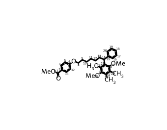 COC(=O)c1ccc(OCCCCCCC(c2ccccc2)c2c(C)c(OC)c(C)c(C)c2OC)cc1